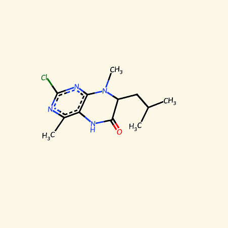 Cc1nc(Cl)nc2c1NC(=O)C(CC(C)C)N2C